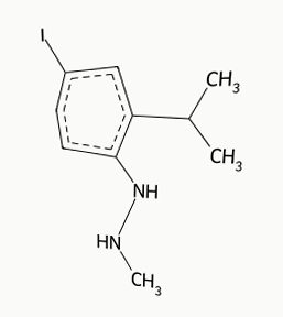 CNNc1ccc(I)cc1C(C)C